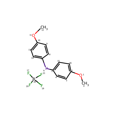 COc1ccc([I+]c2ccc(OC)cc2)cc1.F[B-](F)(F)F